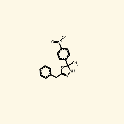 CC1(c2ccc([N+](=O)[O-])cc2)NN=C(Cc2ccccc2)S1